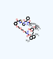 CN[C@@H](C)C(=O)N[C@H](C(=O)N1CCC[C@@H]1c1nc(C(=O)c2cccc(OCCOCCOCCNC(=O)O[C@H]3C[C@@H](C)C=C4C=C[C@H](C)[C@H](CC[C@@H]5C[C@@H](O[Si](C)(C)C(C)(C)C)CC(=O)O5)[C@H]43)c2)cs1)C1CCCCC1